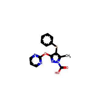 Cc1c(Sc2ccccc2)c(Oc2ncccn2)nn1C(=O)O